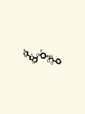 Cn1cnc(-c2cc3nccc(Oc4ccc(NC(=O)CC(=O)c5ccccc5)cc4F)c3s2)c1